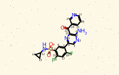 Nc1ncc(-c2cc(S(=O)(=O)NC3CC3)c(F)cc2F)nc1C(=O)c1cccnc1